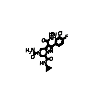 CC(C)(C)NC(=O)c1c(-c2ccc(F)c(Cl)c2)nn2c1CN(C(N)=O)CC2C(=O)NC1CC1